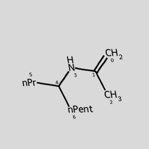 C=C(C)NC(CCC)CCCCC